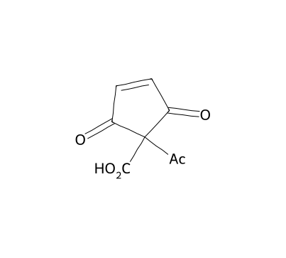 CC(=O)C1(C(=O)O)C(=O)C=CC1=O